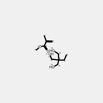 C=C(C)C(=O)OC.CCC(CO)(CO)CO